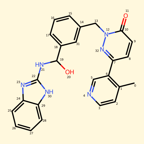 Cc1ccncc1-c1ccc(=O)n(Cc2cccc(C(O)Nc3nc4ccccc4[nH]3)c2)n1